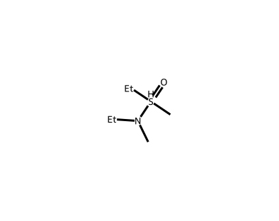 CCN(C)[SH](C)(=O)CC